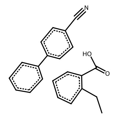 CCc1ccccc1C(=O)O.N#Cc1ccc(-c2ccccc2)cc1